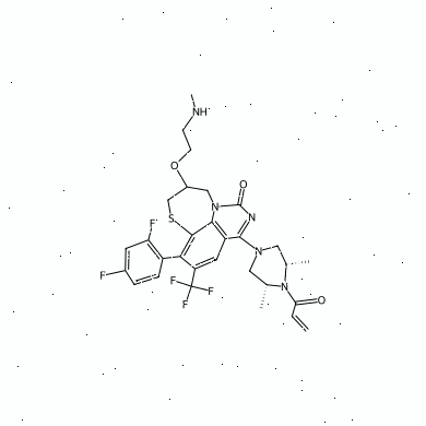 C=CC(=O)N1[C@H](C)CN(c2nc(=O)n3c4c(c(-c5ccc(F)cc5F)c(C(F)(F)F)cc24)SCC(OCCNC)C3)C[C@@H]1C